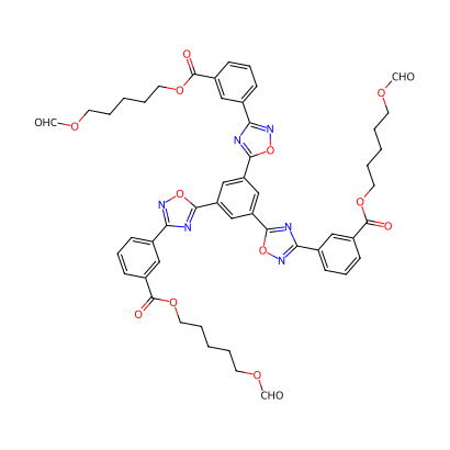 O=COCCCCCOC(=O)c1cccc(-c2noc(-c3cc(-c4nc(-c5cccc(C(=O)OCCCCCOC=O)c5)no4)cc(-c4nc(-c5cccc(C(=O)OCCCCCOC=O)c5)no4)c3)n2)c1